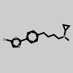 CCc1cnc(-c2ccc(CCCCN(C)C3CC3)cc2)s1